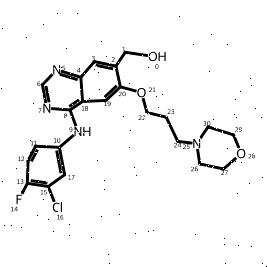 OCc1cc2ncnc(Nc3ccc(F)c(Cl)c3)c2cc1OCCCN1CCOCC1